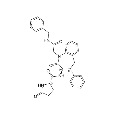 O=C(CN1C(=O)[C@H](NC(=O)[C@@H]2CCC(=O)N2)[C@@H](c2ccccc2)Cc2ccccc21)NCc1ccccc1